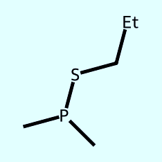 CCCSP(C)C